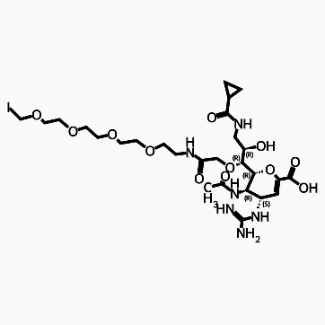 CC(=O)N[C@H]1[C@H]([C@H](OCC(=O)NCCOCCOCCOCCOCI)[C@H](O)CNC(=O)C2CC2)OC(C(=O)O)=C[C@@H]1NC(=N)N